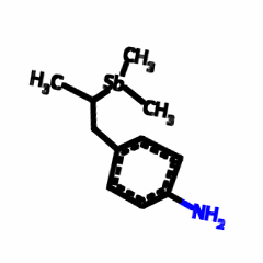 C[CH](Cc1ccc(N)cc1)[Sb]([CH3])[CH3]